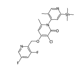 Cc1cn[c]([Sn]([CH3])([CH3])[CH3])cc1-n1c(C)cc(OCc2ncc(F)cc2F)c(Cl)c1=O